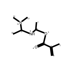 C=C(C)C(=O)OC(C)NC(C)N(C)C